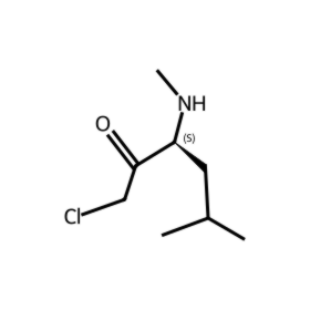 CN[C@@H](CC(C)C)C(=O)CCl